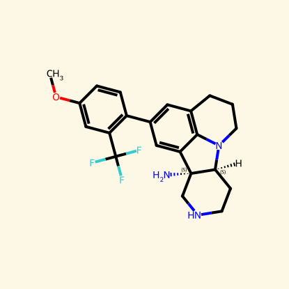 COc1ccc(-c2cc3c4c(c2)[C@]2(N)CNCC[C@@H]2N4CCC3)c(C(F)(F)F)c1